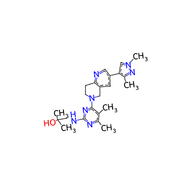 Cc1nn(C)cc1-c1cnc2c(c1)CN(c1nc(NCC(C)(C)O)nc(C)c1C)CC2